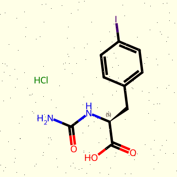 Cl.NC(=O)N[C@@H](Cc1ccc(I)cc1)C(=O)O